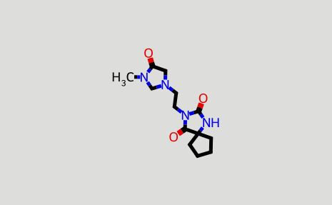 CN1CN(CCN2C(=O)NC3(CCCC3)C2=O)CC1=O